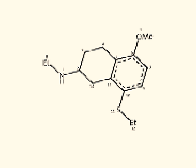 CCNC1CCc2c(OC)ccc(SCC)c2C1